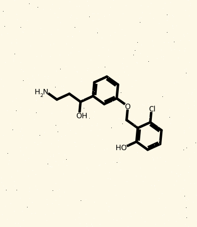 NCCC(O)c1cccc(OCc2c(O)cccc2Cl)c1